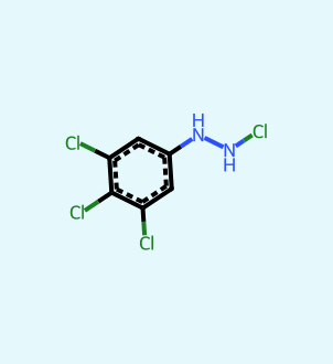 ClNNc1cc(Cl)c(Cl)c(Cl)c1